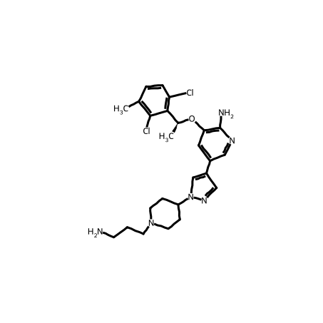 Cc1ccc(Cl)c([C@H](C)Oc2cc(-c3cnn(C4CCN(CCCN)CC4)c3)cnc2N)c1Cl